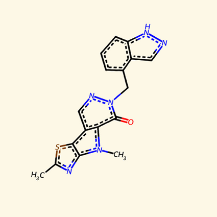 Cc1nc2c(s1)c1cnn(Cc3cccc4[nH]ncc34)c(=O)c1n2C